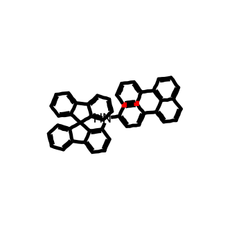 c1ccc(-c2cccc3cccc(-c4ccc(Nc5cccc6c5C5(c7ccccc7-c7ccccc75)c5ccccc5-6)cc4)c23)cc1